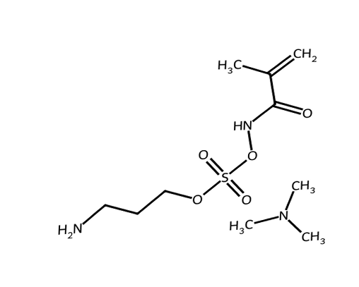 C=C(C)C(=O)NOS(=O)(=O)OCCCN.CN(C)C